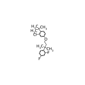 CC(C)(C)c1ccc(OCCC(C)(C)c2ccc(F)cc2F)cc1Cl